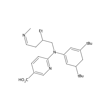 CCC(C/C=N\C)CN(C1=CC(C(C)(C)C)CC(C(C)(C)C)=C1)c1ccc(C(=O)O)cn1